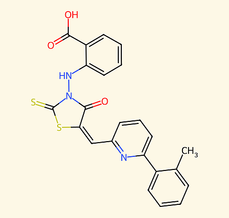 Cc1ccccc1-c1cccc(C=C2SC(=S)N(Nc3ccccc3C(=O)O)C2=O)n1